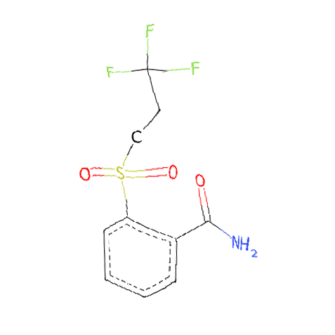 NC(=O)c1ccccc1S(=O)(=O)CCC(F)(F)F